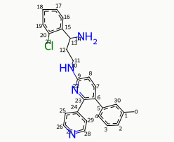 Cc1cccc(-c2ccc(NCCC(N)c3ccccc3Cl)nc2-c2ccncc2)c1